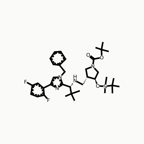 CC(C)(C)OC(=O)N1C[C@@H](CN[C@@H](c2nc(-c3cc(F)ccc3F)cn2Cc2ccccc2)C(C)(C)C)[C@H](O[Si](C)(C)C(C)(C)C)C1